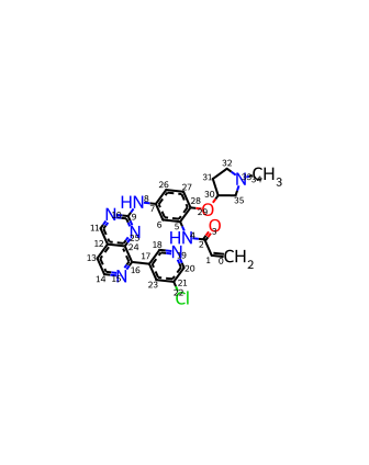 C=CC(=O)Nc1cc(Nc2ncc3ccnc(-c4cncc(Cl)c4)c3n2)ccc1OC1CCN(C)C1